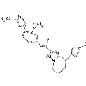 Cc1cn(-c2ccc(/C=C(\F)c3nc4n(n3)CCCC4c3ccc(F)cc3)cc2C)cn1